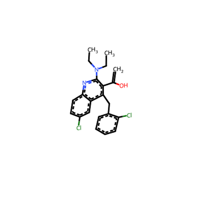 C=C(O)c1c(N(CC)CC)nc2ccc(Cl)cc2c1Cc1ccccc1Cl